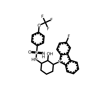 N=S(=O)(NC1CCCC(n2c3ccccc3c3cc(F)ccc32)C1O)c1ccc(OC(F)(F)F)cc1